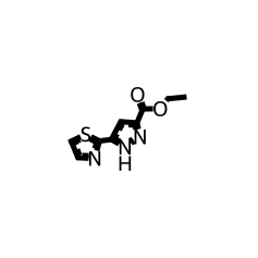 CCOC(=O)c1cc(-c2nccs2)[nH]n1